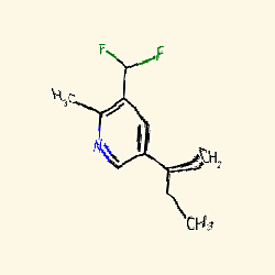 C=C(CC)c1cnc(C)c(C(F)F)c1